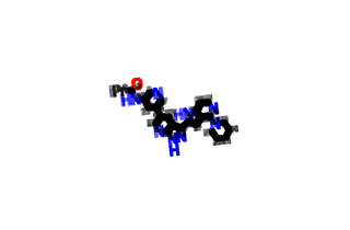 CC(C)C(=O)Nc1cncc(-c2cnc3[nH]nc(-c4cc5c(N6CCCCC6)nccc5[nH]4)c3c2)c1